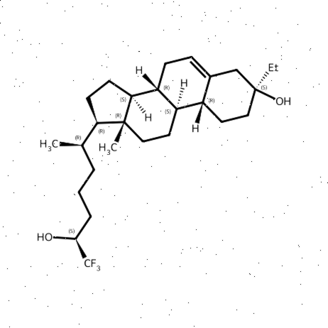 CC[C@]1(O)CC[C@H]2C(=CC[C@@H]3[C@@H]2CC[C@]2(C)[C@@H]([C@H](C)CCC[C@H](O)C(F)(F)F)CC[C@@H]32)C1